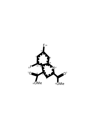 COC(=O)c1cc(C(=O)OC)c2c(F)cc(F)cc2n1